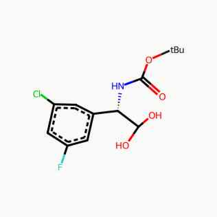 CC(C)(C)OC(=O)N[C@@H](c1cc(F)cc(Cl)c1)C(O)O